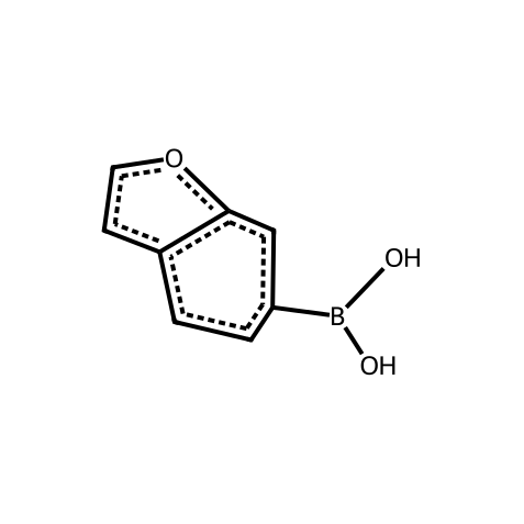 OB(O)c1ccc2ccoc2c1